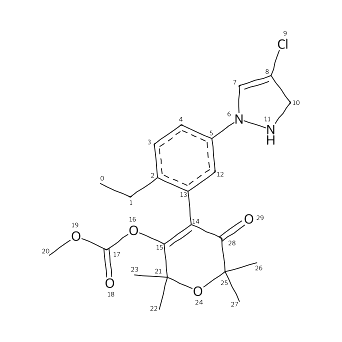 CCc1ccc(N2C=C(Cl)CN2)cc1C1=C(OC(=O)OC)C(C)(C)OC(C)(C)C1=O